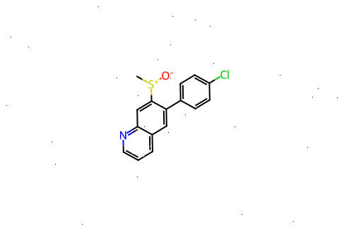 C[S+]([O-])c1cc2ncccc2cc1-c1ccc(Cl)cc1